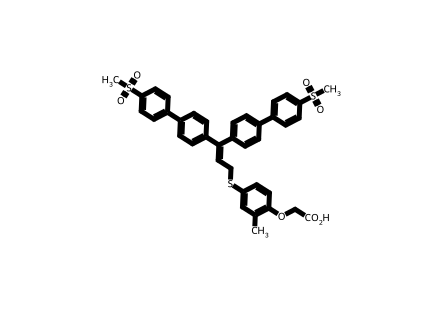 Cc1cc(SCC=C(c2ccc(-c3ccc(S(C)(=O)=O)cc3)cc2)c2ccc(-c3ccc(S(C)(=O)=O)cc3)cc2)ccc1OCC(=O)O